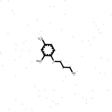 COc1cc([N+](=O)[O-])ccc1SCCCO